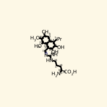 Cc1cc2c(C(C)C)c(O)c(O)c(/C=N\C(=N)NCCC[C@H](N)C(=O)O)c2c(O)c1C